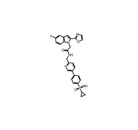 N=S(=O)(c1ccc(-c2ccc(CNC(=O)Cn3c(-c4ncco4)cc4cc(F)ccc43)nc2)cc1)C1CC1